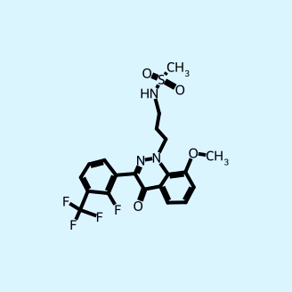 COc1cccc2c(=O)c(-c3cccc(C(F)(F)F)c3F)nn(CCCNS(C)(=O)=O)c12